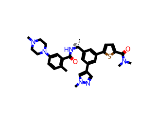 Cc1ccc(N2CCN(C)CC2)cc1C(=O)N[C@H](C)c1cc(-c2cnn(C)c2)cc(-c2ccc(C(=O)N(C)C)s2)c1